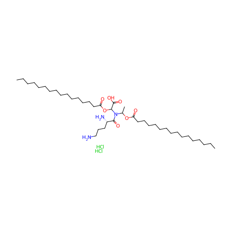 CCCCCCCCCCCCCCCC(=O)OC(C)N(C(=O)[C@@H](N)CCCN)C(OC(=O)CCCCCCCCCCCCCCC)C(=O)O.Cl.Cl